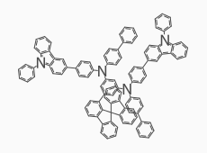 c1ccc(-c2ccc(N(c3ccc(-c4ccc5c(c4)c4ccccc4n5-c4ccccc4)cc3)c3cc(-c4cccc5c4C4(c6ccccc6-c6ccccc64)c4ccccc4-5)cc(N(c4ccc(-c5ccccc5)cc4)c4ccc(-c5ccc6c(c5)c5ccccc5n6-c5ccccc5)cc4)c3)cc2)cc1